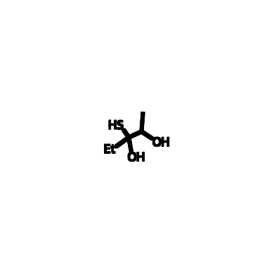 CCC(O)(S)C(C)O